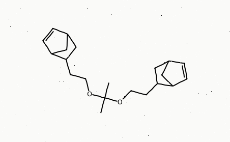 CC(C)(OCCC1CC2C=CC1C2)OCCC1CC2C=CC1C2